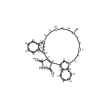 CN1CCOCCn2cc(c3ccccc32)C2=C(C(=O)NC2=O)c2cn(c3ccccc23)CCOCC1